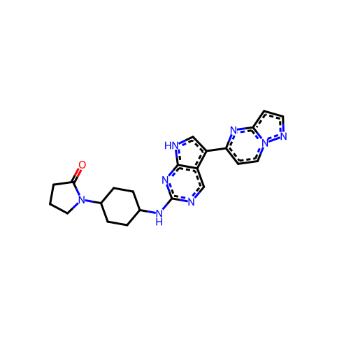 O=C1CCCN1C1CCC(Nc2ncc3c(-c4ccn5nccc5n4)c[nH]c3n2)CC1